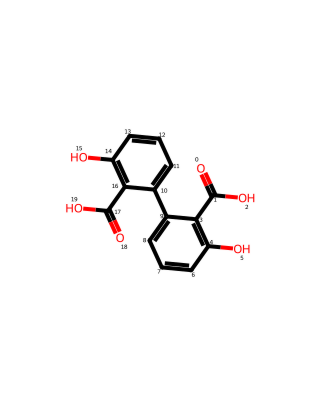 O=C(O)c1c(O)cccc1-c1cccc(O)c1C(=O)O